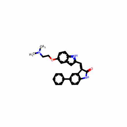 CN(C)CCOc1ccc2[nH]c(/C=C3/C(=O)Nc4ccc(-c5ccccc5)cc43)cc2c1